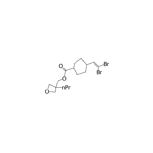 CCCC1(COC(=O)C2CCC(C=C(Br)Br)CC2)COC1